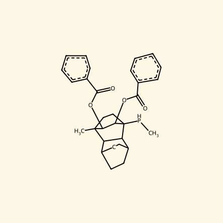 CPC12CCC(C)(C(OC(=O)c3ccccc3)C1OC(=O)c1ccccc1)C1C3CCC(CC3)C12